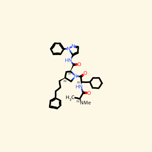 CN[C@@H](C)C(=O)N[C@H](C(=O)N1C[C@@H](CCCc2ccccc2)C[C@H]1C(=O)Nc1ccnn1-c1ccccc1)C1CCCCC1